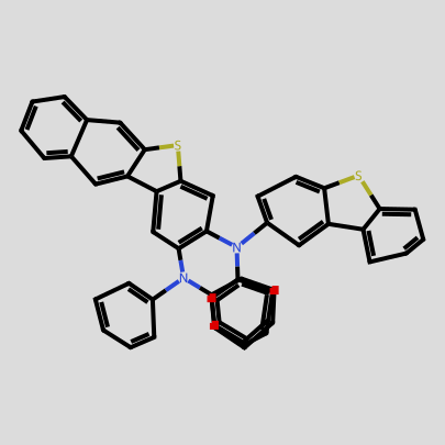 c1ccc(N(c2ccc3sc4ccccc4c3c2)c2cc3sc4cc5ccccc5cc4c3cc2N(c2ccccc2)c2ccccc2)cc1